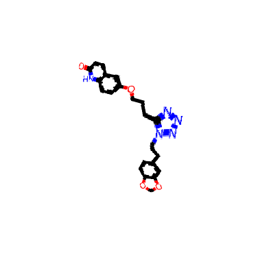 O=c1ccc2cc(OCCCc3nnnn3CCc3ccc4c(c3)OCO4)ccc2[nH]1